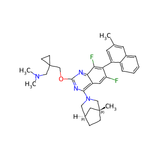 Cc1cc(-c2c(F)cc3c(N4C[C@@H]5CC[C@](C)(C5)C4)nc(OCC4(CN(C)C)CC4)nc3c2F)c2ccccc2c1